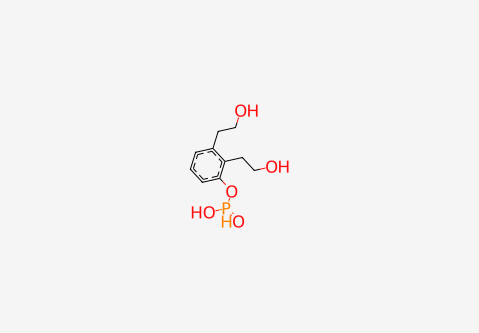 O=[PH](O)Oc1cccc(CCO)c1CCO